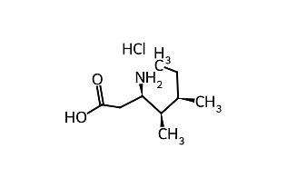 CC[C@@H](C)[C@@H](C)[C@H](N)CC(=O)O.Cl